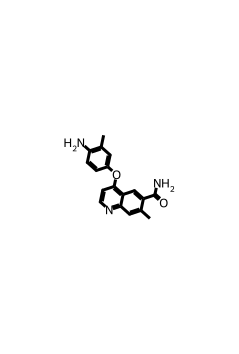 Cc1cc(Oc2ccnc3cc(C)c(C(N)=O)cc23)ccc1N